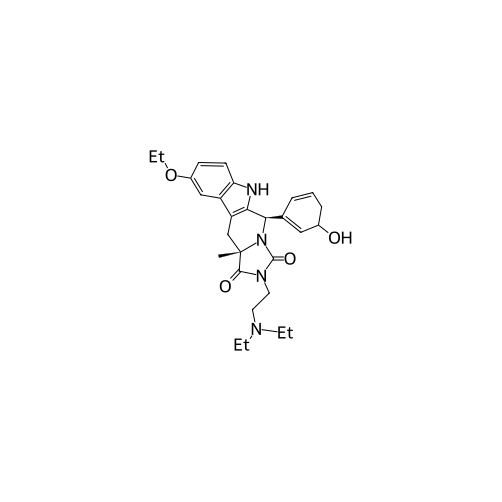 CCOc1ccc2[nH]c3c(c2c1)C[C@@]1(C)C(=O)N(CCN(CC)CC)C(=O)N1[C@@H]3C1=CC(O)CC=C1